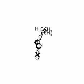 CS(C)(C)CCOCn1ccc2cc(N3CC4(COC4)C3)cnc21